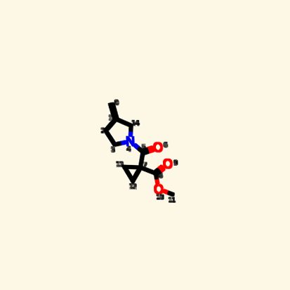 C=C1CCN(C(=O)C2(C(=O)OC)CC2)C1